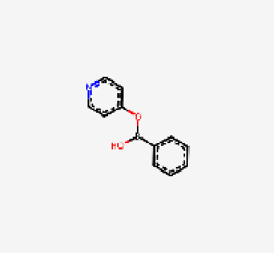 OB(Oc1ccncc1)c1ccccc1